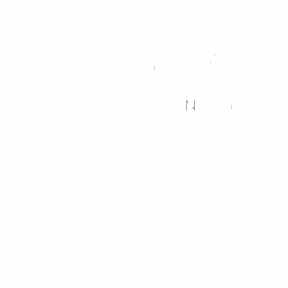 O=C(/C=C/c1cccc(F)c1)N1C(=O)OC[C@@H]1Cc1ccccc1